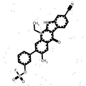 CCn1c2cc(-c3cccc(OS(=O)(=O)F)c3)c(C)cc2c(=O)c2c3ccc(C#N)cc3[nH]c21